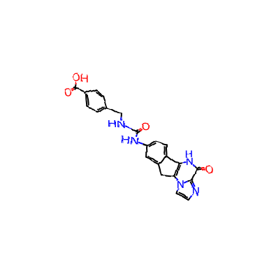 O=C(NCc1ccc(C(=O)O)cc1)Nc1ccc2c(c1)Cc1c-2[nH]c(=O)c2nccn12